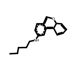 CCCCCNc1ccc2c(c1)=C1C=CC=CC1OC=2